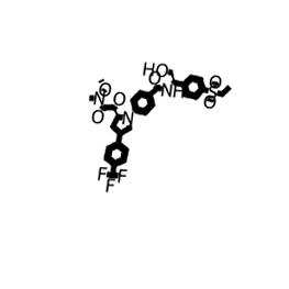 CCS(=O)(=O)c1ccc([C@H](CO)NC(=O)c2ccc(N3CC(c4ccc(C(F)(F)F)cc4)C[C@H]3C(=O)C(=O)N(C)OC)cc2)cc1